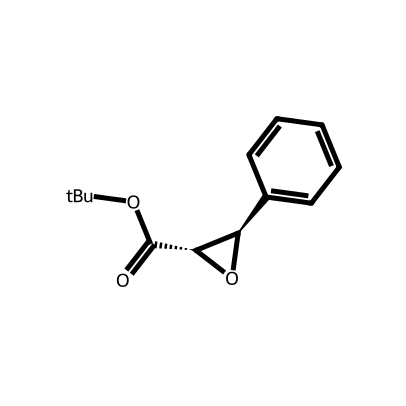 CC(C)(C)OC(=O)[C@H]1O[C@@H]1c1ccccc1